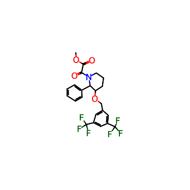 COC(=O)C(=O)N1CCCC(OCc2cc(C(F)(F)F)cc(C(F)(F)F)c2)C1c1ccccc1